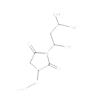 BC(C)CC(C)N1C(=O)CC(SCCCCCCCC)C1=O